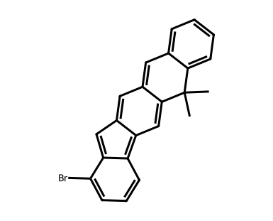 CC1(C)c2ccccc2C=c2cc3c(cc21)=c1cccc(Br)c1=C3